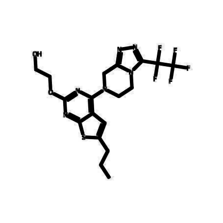 CCCc1cc2c(N3CCn4c(nnc4C(F)(F)C(F)(F)F)C3)nc(OCCO)nc2s1